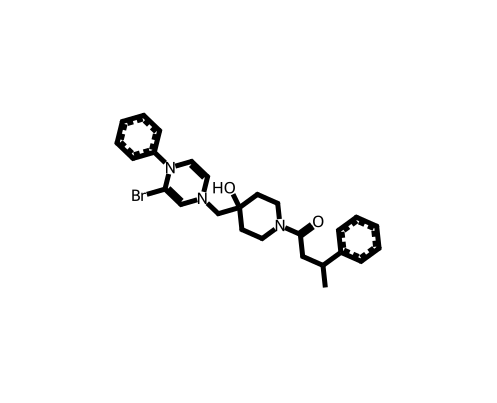 CC(CC(=O)N1CCC(O)(CN2C=CN(c3ccccc3)C(Br)=C2)CC1)c1ccccc1